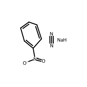 N#N.O=[N+]([O-])c1ccccc1.[NaH]